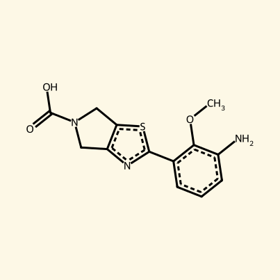 COc1c(N)cccc1-c1nc2c(s1)CN(C(=O)O)C2